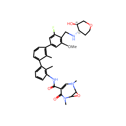 COc1cc(-c2cccc(-c3cccc(NC(=O)C4=CN(C)C5OC5N(C)C4=O)c3C)c2C)cc(F)c1CN[C@H]1CCOC[C@@H]1O